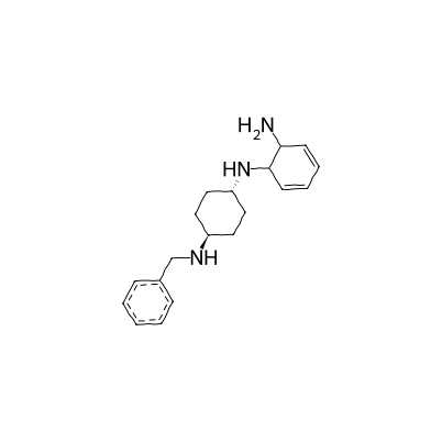 NC1C=CC=CC1N[C@H]1CC[C@H](NCc2ccccc2)CC1